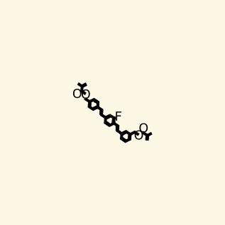 C=C(C)C(=O)OCc1ccc(/C=C/c2ccc(/C=C/c3cccc(COC(=O)C(=C)C)c3)c(F)c2)cc1